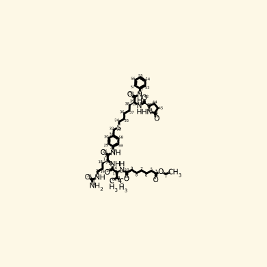 CCOC(=O)CCCCCC(=O)N[C@H](C(=O)N[C@@H](CCCNC(N)=O)C(=O)Nc1ccc(CSCCCCC[C@H](NC(=O)[C@H]2CCC(=O)N2)C(=O)Nc2ccccc2)cc1)C(C)C